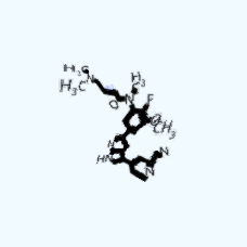 COc1cc(-c2cnc3[nH]cc(-c4ccnc(C#N)c4)c3c2)cc(N(C)C(=O)/C=C/CN(C)C)c1F